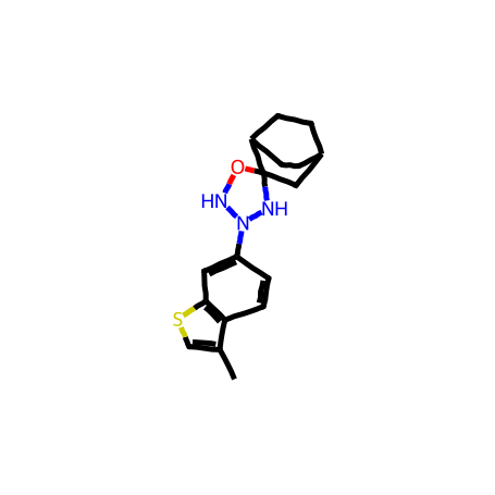 Cc1csc2cc(N3NOC4(CC5CCC4CC5)N3)ccc12